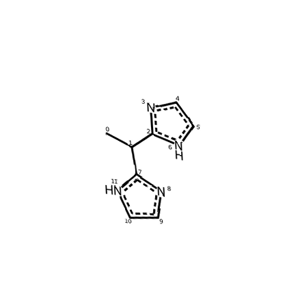 CC(c1ncc[nH]1)c1ncc[nH]1